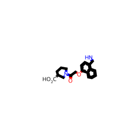 N=Cc1ccc(OCC(=O)N2CCCC(C(=O)O)C2)c2ccccc12